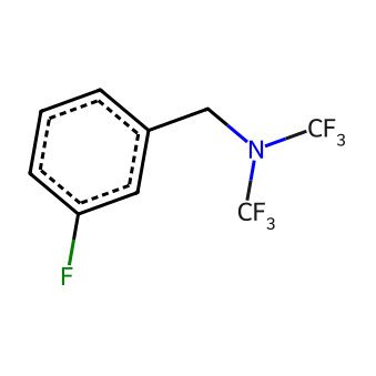 Fc1cccc(CN(C(F)(F)F)C(F)(F)F)c1